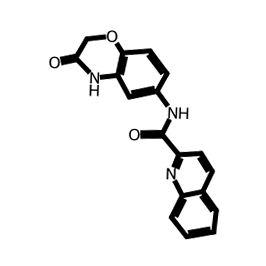 O=C1COc2ccc(NC(=O)c3ccc4ccccc4n3)cc2N1